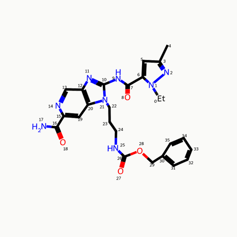 CCn1nc(C)cc1C(=O)Nc1nc2cnc(C(N)=O)cc2n1CCCNC(=O)OCc1ccccc1